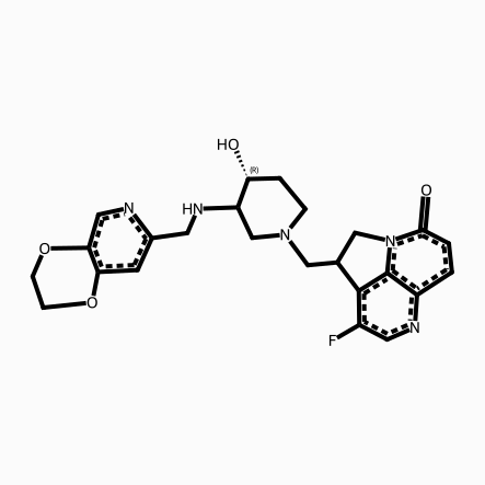 O=c1ccc2ncc(F)c3c2n1CC3CN1CC[C@@H](O)C(NCc2cc3c(cn2)OCCO3)C1